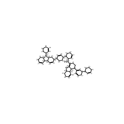 C1=CC(C2C=C(C3CCC(NC4C=CCCC4C4C=CC(C5C=CC6C7C=CCCC7N(C7C=CCCC7)C6C5)CC4)=C4SC5CCC=CC5C43)C=CC2)CCC1